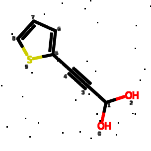 OC(O)C#Cc1cccs1